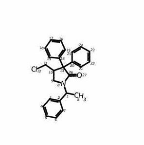 CC(c1ccccc1)N1CC(CCl)C(c2ccccc2)(c2ccccc2)C1=O